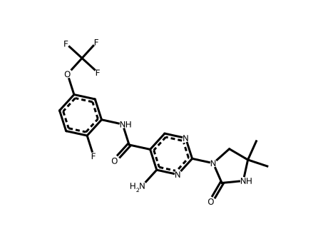 CC1(C)CN(c2ncc(C(=O)Nc3cc(OC(F)(F)F)ccc3F)c(N)n2)C(=O)N1